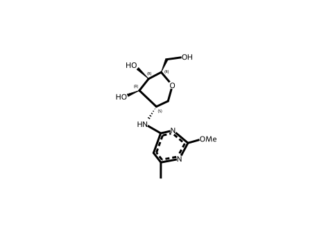 COc1nc(C)cc(N[C@H]2CO[C@H](CO)[C@H](O)[C@@H]2O)n1